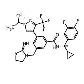 CC(C)n1cc(-c2cc(CN3CCSC3=N)cc(C(=O)N[C@H](c3ccc(F)c(F)c3)C3CC3)c2)c(C(F)(F)F)n1